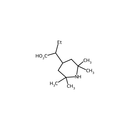 CCC(C(=O)O)C1CC(C)(C)NC(C)(C)C1